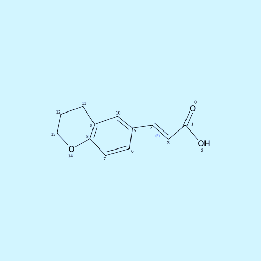 O=C(O)/C=C/c1ccc2c(c1)CCCO2